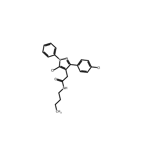 CCCCNC(=O)Cc1c(-c2ccc(Cl)cc2)nn(-c2ccccc2)c1Cl